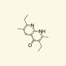 CCc1nc2[nH]c(C)c(CC)c(=O)c2cc1C